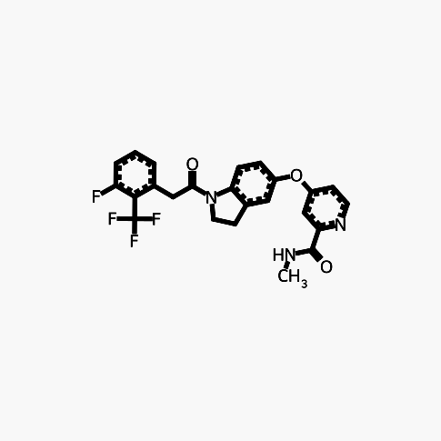 CNC(=O)c1cc(Oc2ccc3c(c2)CCN3C(=O)Cc2cccc(F)c2C(F)(F)F)ccn1